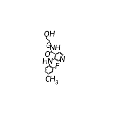 Cc1ccc(Nc2cnccc2C(=O)NOCCO)c(F)c1